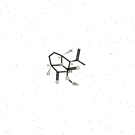 C=C(C)[C@H]1NC(=O)[C@H]2CC[C@@H]1N2C(=O)OC(C)(C)C